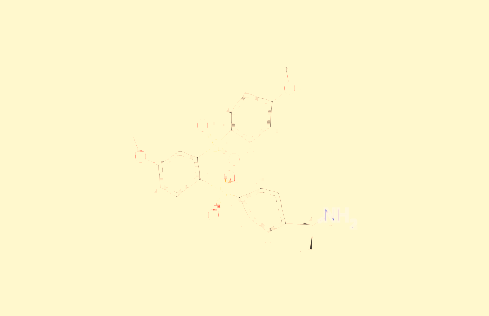 COc1ccc(S(=O)(=O)c2cc(OC)ccc2S(=O)(=O)c2ccc([C@H](C)N)cc2)cc1